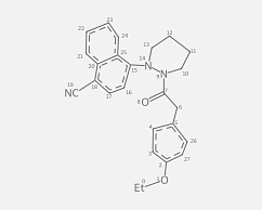 CCOc1ccc(CC(=O)N2CCCCN2c2ccc(C#N)c3ccccc23)cc1